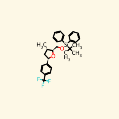 C[C@H]1C[C@H](c2ccc(C(F)(F)F)cc2)O[C@@H]1CO[Si](c1ccccc1)(c1ccccc1)C(C)(C)C